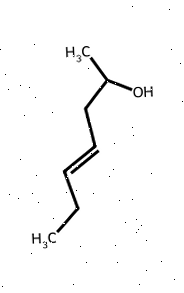 CC/C=C/CC(C)O